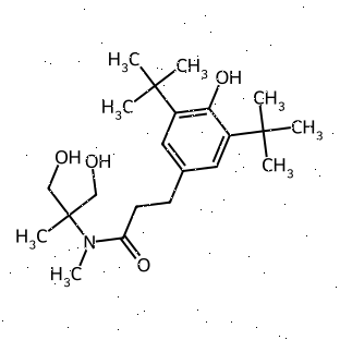 CN(C(=O)CCc1cc(C(C)(C)C)c(O)c(C(C)(C)C)c1)C(C)(CO)CO